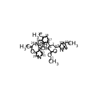 CCOC(=O)CC(CCc1cn(CC)nn1)c1ccc(C)c(CN2C[C@@H](C)Oc3cnccc3S2(O)O)c1